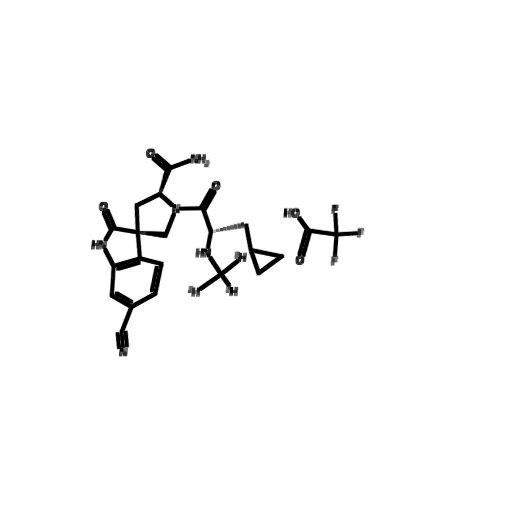 O=C(O)C(F)(F)F.[2H]C([2H])([2H])N[C@@H](CC1CC1)C(=O)N1C[C@]2(C[C@H]1C(N)=O)C(=O)Nc1cc(C#N)ccc12